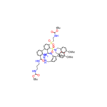 COc1ccc(CN(Cc2ccc(OC)cc2)S(=O)(=O)c2c(S(=O)(=O)CCNC(=O)OC(C)(C)C)ccc(-c3cccc(C(=O)NCCCNC(=O)OC(C)(C)C)c3N)c2C2=N/c3cc(ccc3OC)CN/N=N\2)cc1